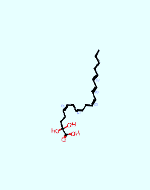 CCCC/C=C/C=C/C=C\C/C=C\C/C=C\CCC(O)(O)C(=O)O